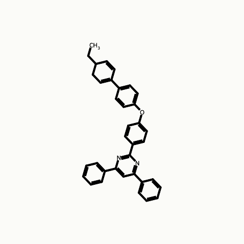 CCC1C=CC(c2ccc(Oc3ccc(-c4nc(-c5ccccc5)cc(-c5ccccc5)n4)cc3)cc2)=CC1